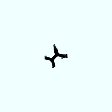 CC(C)C(=S)S